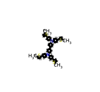 Cc1ccc(-c2ccc(N(c3ccc(-c4ccc(N(c5ccc(-c6ccc(C)s6)cc5)c5ccc(-c6ccc(C)s6)cc5)cc4)cc3)c3ccc(-c4ccc(C)s4)cc3)cc2)s1